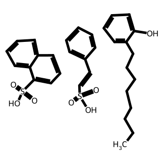 CCCCCCCCc1ccccc1O.O=S(=O)(O)C=Cc1ccccc1.O=S(=O)(O)c1cccc2ccccc12